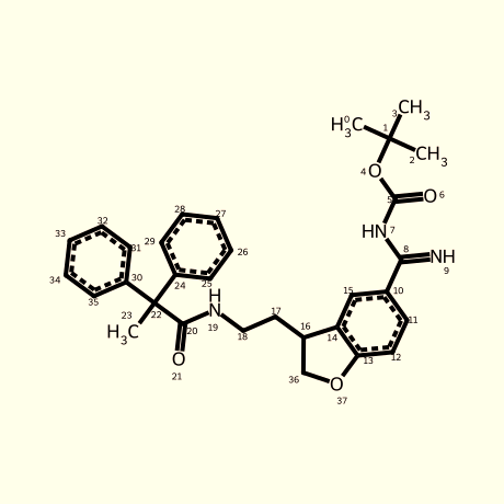 CC(C)(C)OC(=O)NC(=N)c1ccc2c(c1)C(CCNC(=O)C(C)(c1ccccc1)c1ccccc1)CO2